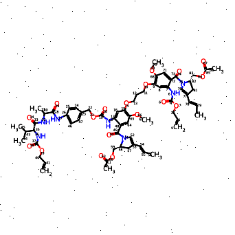 C=CCOC(=O)Nc1cc(OCCCOc2cc(NC(=O)OCc3ccc(NC(=O)C(C)NC(=O)C(NC(=O)OCC=C)C(C)C)cc3)c(C(=O)N3C=C(C=CC)C[C@H]3COC(C)=O)cc2OC)c(OC)cc1C(=O)N1C=C(C=CC)C[C@H]1COC(C)=O